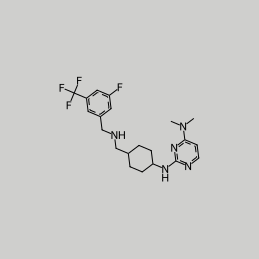 CN(C)c1ccnc(NC2CCC(CNCc3cc(F)cc(C(F)(F)F)c3)CC2)n1